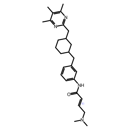 Cc1nc(CC2CCCC(Cc3cccc(NC(=O)/C=C/CN(C)C)c3)C2)nc(C)c1C